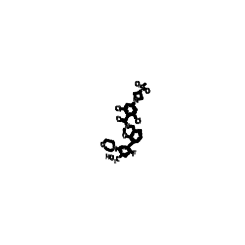 CS(=O)(=O)C1CN(c2cc(Cl)c(C(=O)N3COc4c(cccc4-c4cc(N5CCOCC5)c(C(=O)O)cc4F)C3)c(Cl)c2)C1